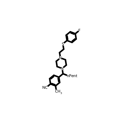 CCCCCC(c1ccc(C#N)c(C)c1)N1CCN(CCSc2ccc(F)cc2)CC1